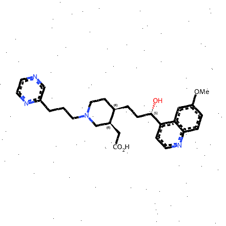 COc1ccc2nccc([C@@H](O)CC[C@@H]3CCN(CCCc4cnccn4)C[C@@H]3CC(=O)O)c2c1